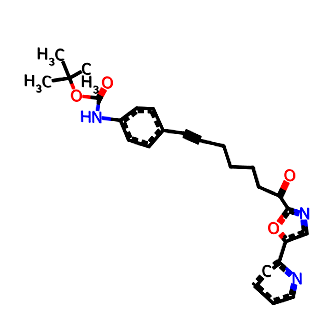 CC(C)(C)OC(=O)Nc1ccc(C#CCCCCC(=O)c2ncc(-c3ccccn3)o2)cc1